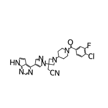 N#CCC1(n2cc(-c3ncnc4[nH]ccc34)cn2)CN(C2CCN(C(=O)c3ccc(Cl)c(F)c3)CC2)C1